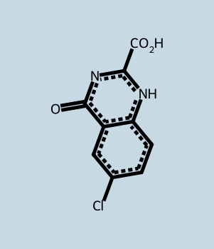 O=C(O)c1nc(=O)c2cc(Cl)ccc2[nH]1